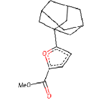 COC(=O)c1ccc(C23CC4CC(CC(C4)C2)C3)o1